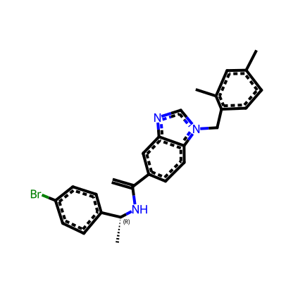 C=C(N[C@H](C)c1ccc(Br)cc1)c1ccc2c(c1)ncn2Cc1ccc(C)cc1C